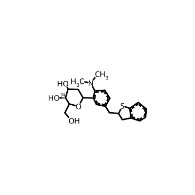 CN(C)c1ccc(CC2Cc3ccccc3S2)cc1C1CC(O)[C@H](O)C(CO)O1